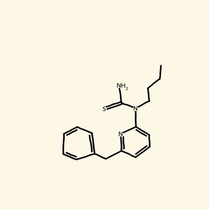 CCCCN(C(N)=S)c1cccc(Cc2ccccc2)n1